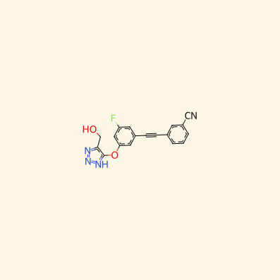 N#Cc1cccc(C#Cc2cc(F)cc(Oc3[nH]nnc3CO)c2)c1